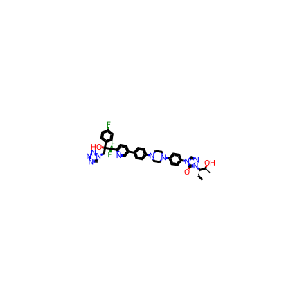 CC[C@@H]([C@H](C)O)n1ncn(-c2ccc(N3CCN(c4ccc(-c5ccc(C(F)(F)C(O)(Cn6cnnn6)c6ccc(F)cc6)nc5)cc4)CC3)cc2)c1=O